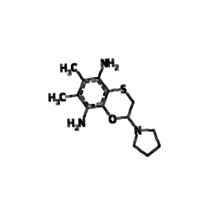 Cc1c(C)c(N)c2c(c1N)OC(N1CCCC1)CS2